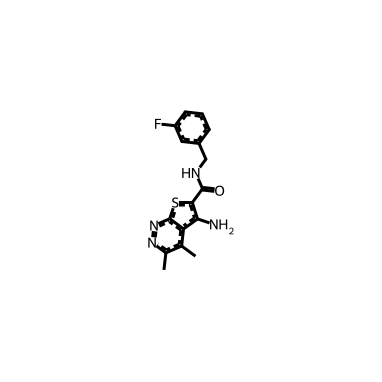 Cc1nnc2sc(C(=O)NCc3cccc(F)c3)c(N)c2c1C